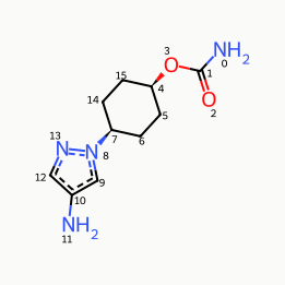 NC(=O)O[C@H]1CC[C@@H](n2cc(N)cn2)CC1